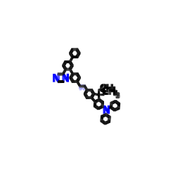 CCC1(CC)c2cc(/C=C/c3ccc(-c4cc(-c5ccccc5)ccc4-c4cnccn4)cc3)ccc2-c2ccc(N(c3ccccc3)c3ccccc3)cc21